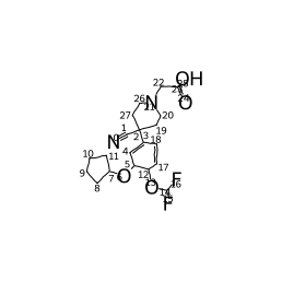 N#CC1(C2=CC(OC3CCCC3)C(OC(F)F)C=C2)CCN(CC(=O)O)CC1